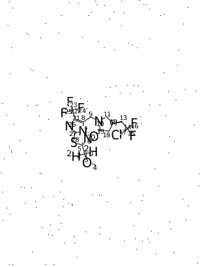 [2H]C([2H])(OC)c1nn2c(CN3C[C@@H](CC(F)(F)Cl)CC3=O)c(C(F)(F)F)nc2s1